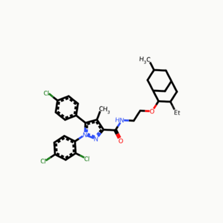 CCC1CC2CC(C)CC(C2)C1OCCNC(=O)c1nn(-c2ccc(Cl)cc2Cl)c(-c2ccc(Cl)cc2)c1C